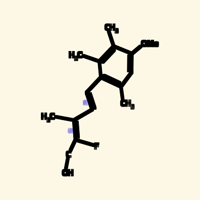 COc1cc(C)c(/C=C/C(C)=C(\F)CO)c(C)c1C